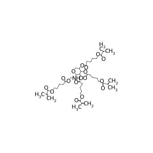 C=C(C)C(=O)OCCCCC(=O)OCNC1OC[C@@H](OC(=O)CCCCOC(=O)C(=C)C)C(OC(=O)CCCCOC(=O)C(=C)C)[C@H]1OC(=O)CCCCOC(=O)C(=C)C